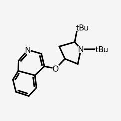 CC(C)(C)C1CC(Oc2cncc3ccccc23)CN1C(C)(C)C